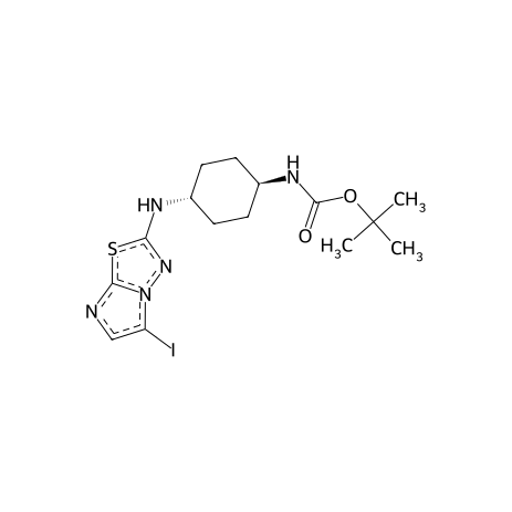 CC(C)(C)OC(=O)N[C@H]1CC[C@H](Nc2nn3c(I)cnc3s2)CC1